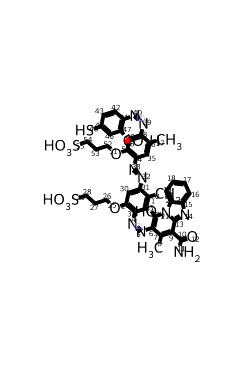 Cc1cc(/N=N\c2c(C)c(C(N)=O)c3nc4ccccc4n3c2O)c(OCCCS(=O)(=O)O)cc1N=Nc1cc(C)c(/N=N\c2ccc(S)cc2C(=O)O)cc1OCCCS(=O)(=O)O